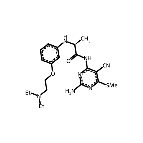 CCN(CC)CCOc1cccc(N[C@@H](C)C(=O)Nc2nc(N)nc(SC)c2C#N)c1